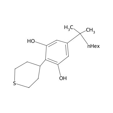 CCCCCCC(C)(C)c1cc(O)c(C2CCSCC2)c(O)c1